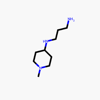 CN1CCC(NCCCN)CC1